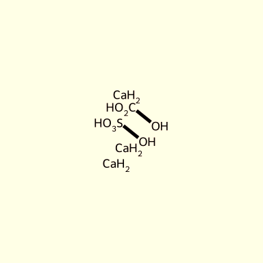 O=C(O)O.O=S(=O)(O)O.[CaH2].[CaH2].[CaH2]